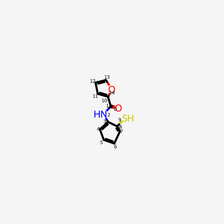 O=C(Nc1ccccc1S)c1ccco1